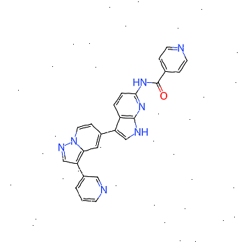 O=C(Nc1ccc2c(-c3ccn4ncc(-c5cccnc5)c4c3)c[nH]c2n1)c1ccncc1